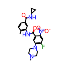 Cc1ccc(C(=O)NC2CC2)cc1NC(=O)c1cc(N2CCN(C)CC2)c(F)cc1[N+](=O)[O-]